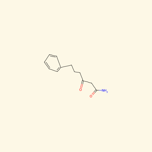 NC(=O)CC(=O)CCCc1ccccc1